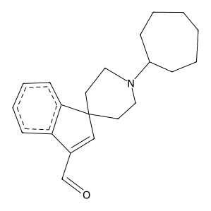 O=CC1=CC2(CCN(C3CCCCCC3)CC2)c2ccccc21